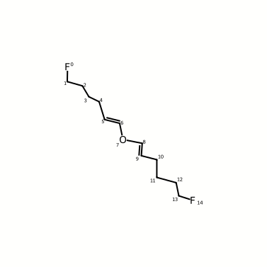 FCCCCC=COC=CCCCCF